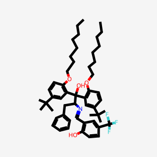 CCCCCCCCOc1ccc(C(C)(C)C)cc1C(O)(c1cc(C(C)(C)C)ccc1OCCCCCCCC)C(Cc1ccccc1)N=Cc1cc(C(F)(F)F)ccc1O